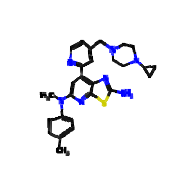 Cc1ccc(N(C)c2cc(-c3cc(CN4CCN(C5CC5)CC4)ccn3)c3nc(N)sc3n2)cc1